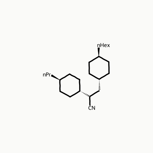 CCCCCC[C@H]1CC[C@H](CC(C#N)[C@H]2CC[C@H](CCC)CC2)CC1